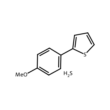 COc1ccc(-c2cccs2)cc1.S